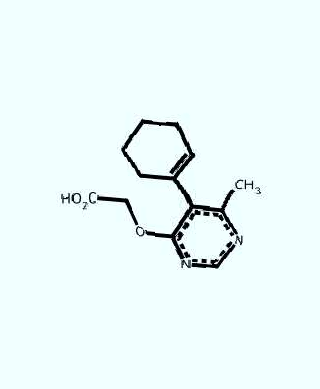 Cc1ncnc(OCC(=O)O)c1C1=CCCCC1